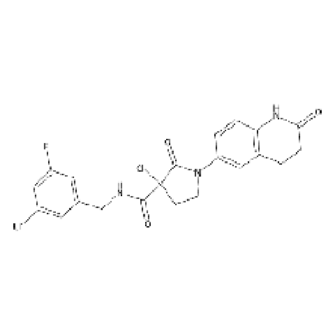 O=C1CCc2cc(N3CCC(Cl)(C(=O)NCc4cc(F)cc(Cl)c4)C3=O)ccc2N1